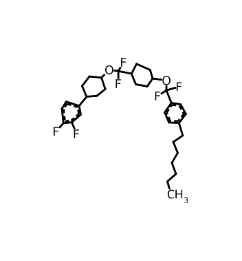 CCCCCCCc1ccc(C(F)(F)OC2CCC(C(F)(F)OC3CCC(c4ccc(F)c(F)c4)CC3)CC2)cc1